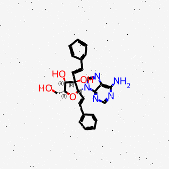 Nc1ncnc2c1ncn2[C@]1(C=Cc2ccccc2)O[C@H](CO)[C@@H](O)[C@]1(O)C=Cc1ccccc1